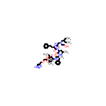 C/C=C(\CC)CN(CCO)CC(=O)N[C@@H](CCc1ccccc1)C(=O)N[C@@H](CC(C)C)C(=O)N[C@@H](Cc1ccccc1)C(=O)N[C@@H](CC(C)C)C(=O)C(C)(CC)OC(=O)COCc1c[nH]nn1